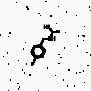 CC(S)NCc1ccc(F)cc1